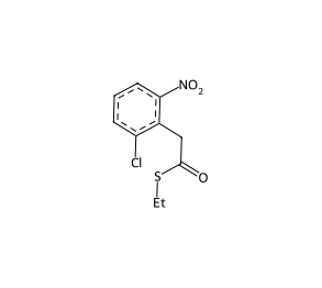 CCSC(=O)Cc1c(Cl)cccc1[N+](=O)[O-]